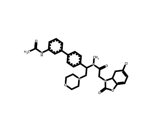 CC(=O)Nc1cccc(-c2ccc(C(CN3CCOCC3)N(C)C(=O)CN3C(=O)OC4=CC=C(Cl)CC43)cc2)c1